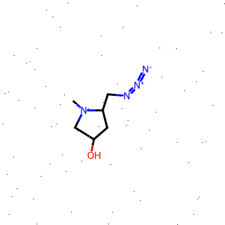 CN1CC(O)CC1CN=[N+]=[N-]